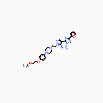 COCCOc1ccc(N2CCN(CCn3ncc(-c4nc(-c5ccco5)n[nH]4)c3N)CC2)cc1